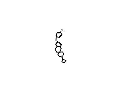 Nc1ccc(Oc2ccc3c(c2)CCC2(CCN(C4CCC4)CC2)O3)cc1